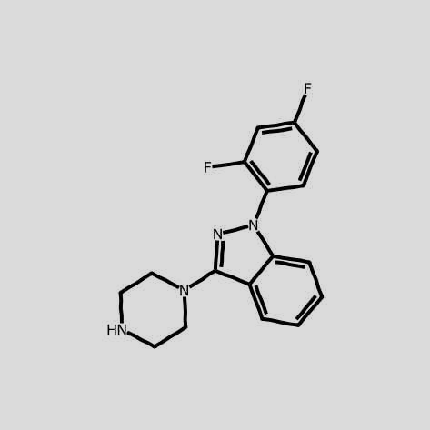 Fc1ccc(-n2nc(N3CCNCC3)c3ccccc32)c(F)c1